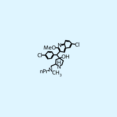 CCCN(C)CC1CC(O)(C(c2ccc(Cl)cc2)c2cc3cc(Cl)ccc3nc2OC)CCN1